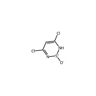 [O-][S+]1N=C(Cl)C=C(Cl)N1